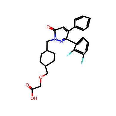 O=C(O)COCC1CCC(Cn2nc(-c3cccc(F)c3F)c(-c3ccccc3)cc2=O)CC1